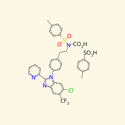 Cc1ccc(S(=O)(=O)N(CCc2ccc(-n3c(-c4ccccn4)nc4cc(C(F)(F)F)c(Cl)cc43)cc2)C(=O)O)cc1.Cc1ccc(S(=O)(=O)O)cc1